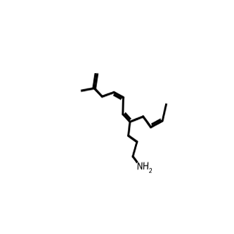 C=C(C)C/C=C\C=C(/C/C=C\C)CCCN